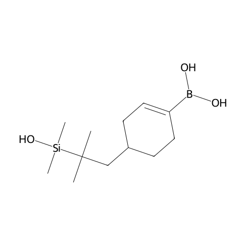 CC(C)(CC1CC=C(B(O)O)CC1)[Si](C)(C)O